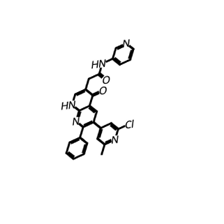 Cc1cc(-c2cc3c(=O)c(CC(=O)Nc4cccnc4)c[nH]c3nc2-c2ccccc2)cc(Cl)n1